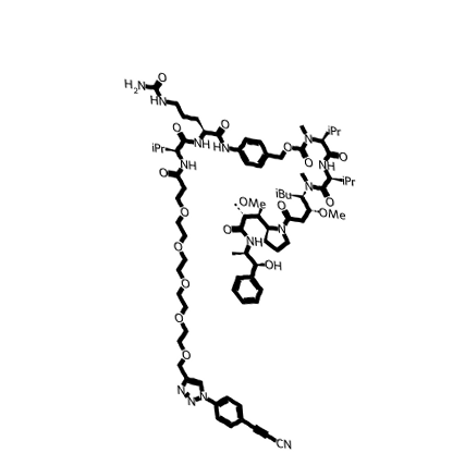 CC[C@H](C)[C@@H]([C@@H](CC(=O)N1CCC[C@H]1[C@H](OC)[C@@H](C)C(=O)N[C@H](C)[C@@H](O)c1ccccc1)OC)N(C)C(=O)[C@@H](NC(=O)[C@H](C(C)C)N(C)C(=O)OCc1ccc(NC(=O)[C@H](CCCNC(N)=O)NC(=O)[C@@H](NC(=O)CCOCCOCCOCCOCCOCc2cn(-c3ccc(C#CC#N)cc3)nn2)C(C)C)cc1)C(C)C